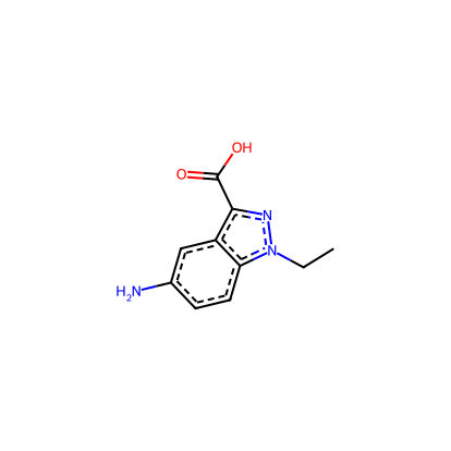 CCn1nc(C(=O)O)c2cc(N)ccc21